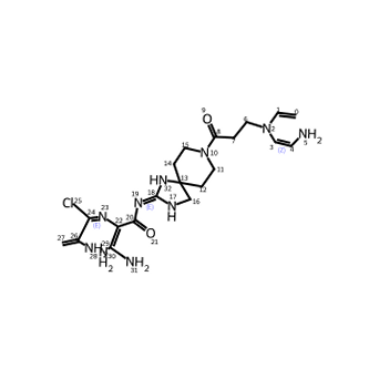 C=CN(/C=C\N)CCC(=O)N1CCC2(CC1)CN/C(=N\C(=O)C(/N=C(/Cl)C(=C)N)=C(N)N)N2